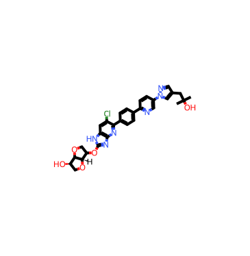 CC(C)(O)Cc1cnn(-c2ccc(-c3ccc(-c4nc5nc(OC6COC7[C@@H]6OC[C@H]7O)[nH]c5cc4Cl)cc3)nc2)c1